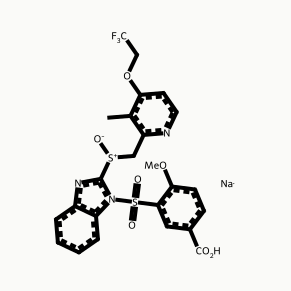 COc1ccc(C(=O)O)cc1S(=O)(=O)n1c([S+]([O-])Cc2nccc(OCC(F)(F)F)c2C)nc2ccccc21.[Na]